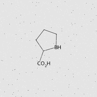 O=C(O)C1BCCC1